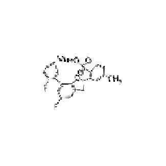 COS(=O)(=O)c1ccc(C)cc1C1Cc2cc(F)cc(-c3ccccc3F)c2O1